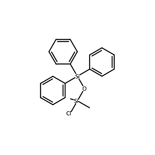 C[Si](C)(Cl)O[Si](c1ccccc1)(c1ccccc1)c1ccccc1